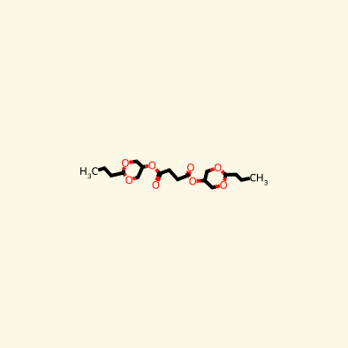 CCCC1OCC(OC(=O)CCC(=O)OC2COC(CCC)OC2)CO1